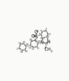 Cc1nc2cccc3c2n1-c1ccc(-c2ccccc2)cc1S3(=O)=O